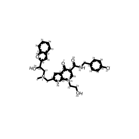 CN(Cc1cc2c(=O)c(C(=O)NCc3ccc(Cl)cc3)cn(CCO)c2s1)CC(O)c1cc2ccccc2o1